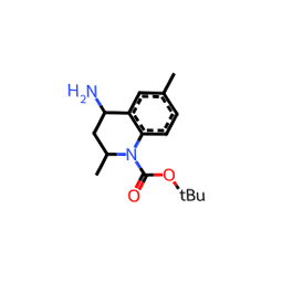 Cc1ccc2c(c1)C(N)CC(C)N2C(=O)OC(C)(C)C